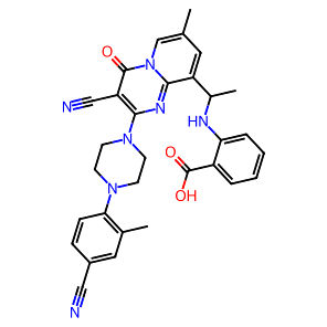 Cc1cc(C(C)Nc2ccccc2C(=O)O)c2nc(N3CCN(c4ccc(C#N)cc4C)CC3)c(C#N)c(=O)n2c1